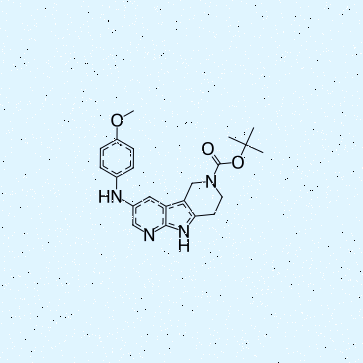 COc1ccc(Nc2cnc3[nH]c4c(c3c2)CN(C(=O)OC(C)(C)C)CC4)cc1